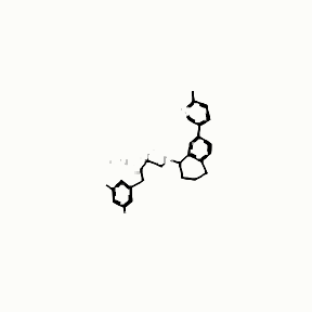 CC(=O)N[C@@H](Cc1cc(F)cc(F)c1)[C@@H](O)CNC1CCCc2ccc(-c3ccc(C)nc3)cc21